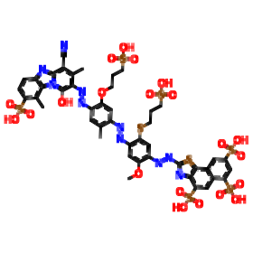 COc1cc(N=Nc2cc(OCCCS(=O)(=O)O)c(N=Nc3c(C)c(C#N)c4nc5ccc(S(=O)(=O)O)c(C)c5n4c3O)cc2C)c(SCCCS(=O)(=O)O)cc1N=Nc1nc2c(S(=O)(=O)O)cc3c(S(=O)(=O)O)cc(S(=O)(=O)O)cc3c2s1